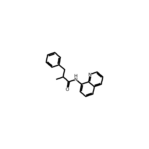 CC(Cc1ccccc1)C(=O)Nc1cccc2cccnc12